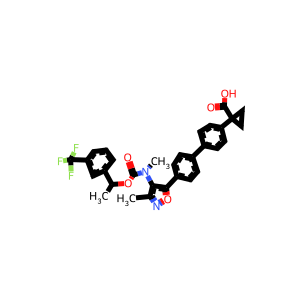 Cc1noc(-c2ccc(-c3ccc(C4(C(=O)O)CC4)cc3)cc2)c1N(C)C(=O)OC(C)c1cccc(C(F)(F)F)c1